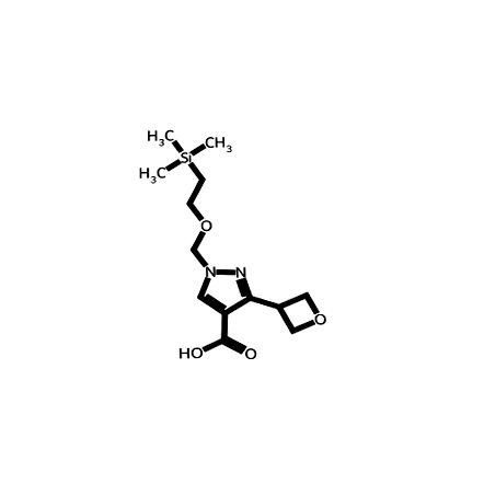 C[Si](C)(C)CCOCn1cc(C(=O)O)c(C2COC2)n1